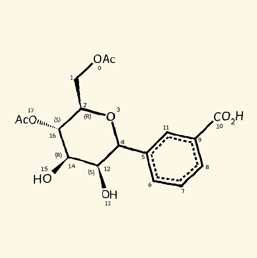 CC(=O)OC[C@H]1OC(c2cccc(C(=O)O)c2)[C@@H](O)[C@@H](O)[C@@H]1OC(C)=O